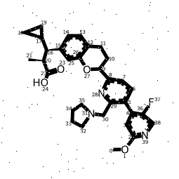 COc1cc(-c2ccc(C3CCc4ccc([C@H](C5CC5)[C@H](C)C(=O)O)cc4O3)nc2CN2CCCC2)c(F)cn1